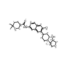 CC1(C)CC[C@@H](C(=O)Nc2cc3cc(C4CCN([C@]5(C)COC[C@@H]5O)CC4)c(Cl)cc3cn2)CO1